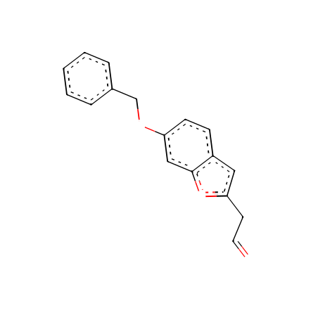 O=CCc1cc2ccc(OCc3ccccc3)cc2o1